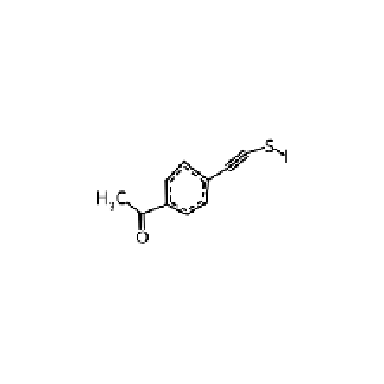 CC(=O)c1ccc(C#CSI)cc1